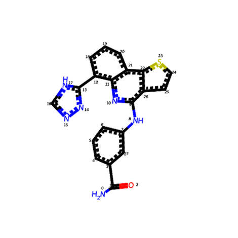 NC(=O)c1cccc(Nc2nc3c(-c4nnc[nH]4)cccc3c3sccc23)c1